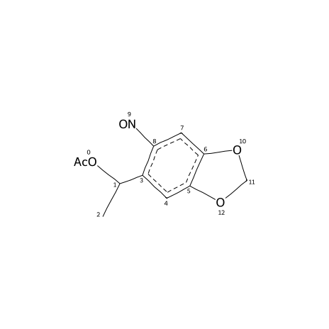 CC(=O)OC(C)c1cc2c(cc1N=O)OCO2